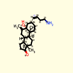 C=C1C[C@H]2[C@@H]3CCC(=O)[C@@]3(C)CC[C@@H]2[C@@]2(C)CC[C@@H](/C=C\CCN)C[C@]12O